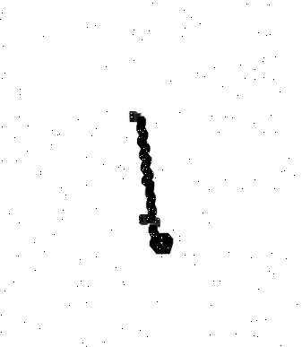 O=C(CCCCCCCCCCCCCCCBr)OCc1ccccc1